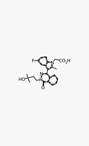 Cc1c(-c2nn(CCC(C)(C)O)c(=O)c3ccccc23)c2cc(F)ccc2n1CC(=O)O